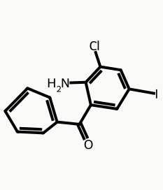 Nc1c(Cl)cc(I)cc1C(=O)c1ccccc1